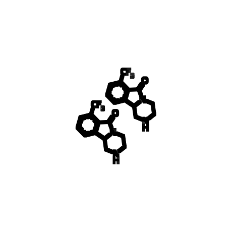 O=C1c2c(cccc2C(F)(F)F)C2CNCCN12.O=C1c2c(cccc2C(F)(F)F)C2CNCCN12